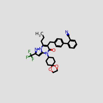 CCCc1c(Cc2ccc(-c3ccccc3C#N)cc2)c(=O)n(C2CCC3(CC2)OCCO3)c2cc(C(F)(F)F)nn12